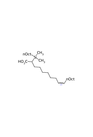 CCCCCCCC/C=C\CCCCCCC(C(=O)O)[Si](C)(C)CCCCCCCC